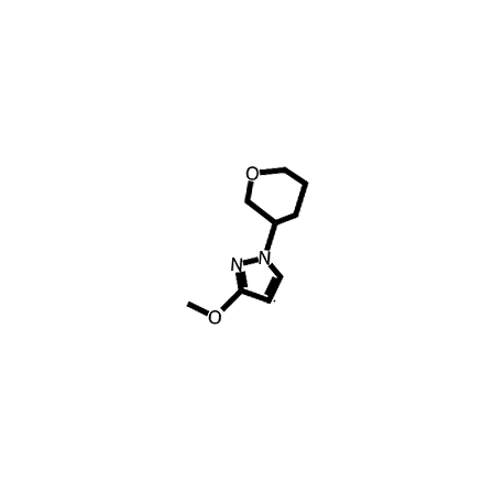 COc1[c]cn(C2CCCOC2)n1